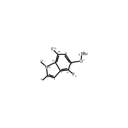 Cc1cc2c(F)c(OC(C)(C)C)cc(F)c2n1C